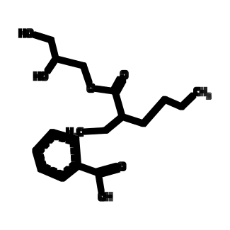 CCCCC(CC)C(=O)OCC(O)CO.O=C(O)c1ccccc1